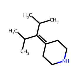 CC(C)C(=C1CCNCC1)C(C)C